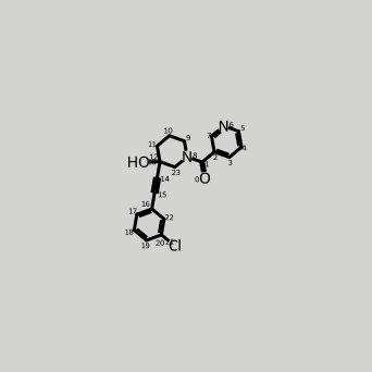 O=C(c1cccnc1)N1CCCC(O)(C#Cc2cccc(Cl)c2)C1